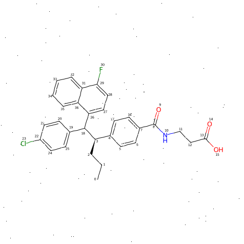 CCC[C@H](c1ccc(C(=O)NCCC(=O)O)cc1)C(c1ccc(Cl)cc1)c1ccc(F)c2ccccc12